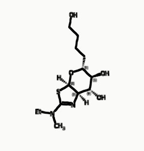 CCN(C)C1=N[C@@H]2[C@@H](O)[C@H](O)[C@@H](CCCCO)O[C@@H]2S1